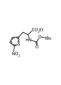 CCOC(=O)C(Cc1ccc([N+](=O)[O-])s1)NC(=O)OC(C)(C)C